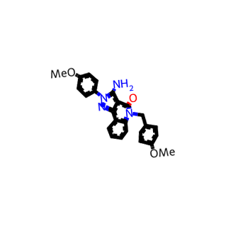 COc1ccc(Cn2c(=O)c3c(N)n(-c4ccc(OC)cc4)nc3c3ccccc32)cc1